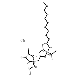 CCCCCCCCCCCC[N+](CCC[Si](OCC)(OCC)OCC)(C(C)C)C(C)C.[Cl-]